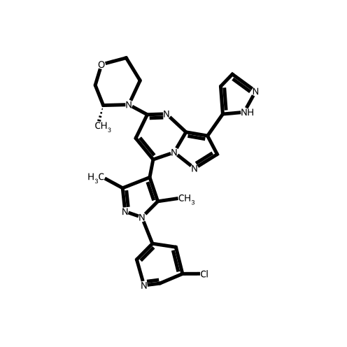 Cc1nn(-c2cncc(Cl)c2)c(C)c1-c1cc(N2CCOC[C@H]2C)nc2c(-c3ccn[nH]3)cnn12